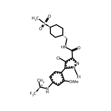 CCn1nc(C(=O)NC[C@H]2CC[C@H](S(C)(=O)=O)CC2)c(Cl)c1-c1ccc(N[C@H](C)C(F)(F)F)cc1OC